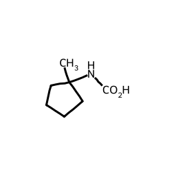 CC1(NC(=O)O)CCCC1